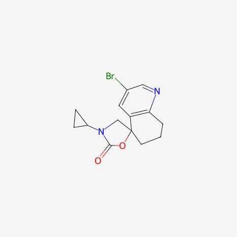 O=C1OC2(CCCc3ncc(Br)cc32)CN1C1CC1